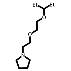 CCC(CC)OCCOCCN1CCCC1